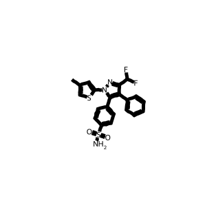 Cc1csc(-n2nc(C(F)F)c(-c3ccccc3)c2-c2ccc(S(N)(=O)=O)cc2)c1